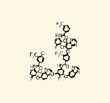 O=C(Nc1cc(F)c(F)c(Oc2ccc3nccnc3c2)c1)c1ccc(Cl)c(C(F)(F)F)c1.O=C(Nc1ccc(F)c(Oc2ccc3nccnc3c2)c1Cl)c1ccc(Cl)c(C(F)(F)F)c1.O=C(Nc1ccc(F)c(Oc2ccc3nccnc3c2)c1Cl)c1cccc(C(F)(F)F)c1